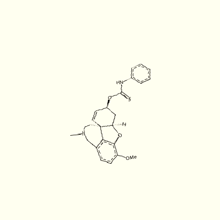 COc1ccc2c3c1O[C@@H]1C[C@H](OC(=S)Nc4ccccc4)C=C[C@]31CCN(C)C2